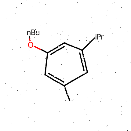 [CH2]c1cc(OCCCC)cc(C(C)C)c1